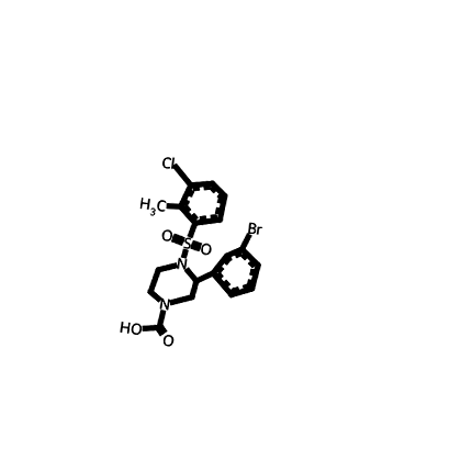 Cc1c(Cl)cccc1S(=O)(=O)N1CCN(C(=O)O)CC1c1cccc(Br)c1